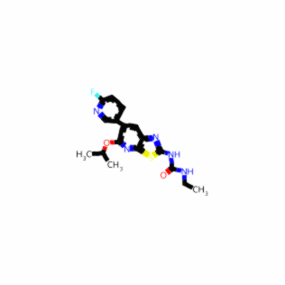 CCNC(=O)Nc1nc2cc(-c3ccc(F)nc3)c(OC(C)C)nc2s1